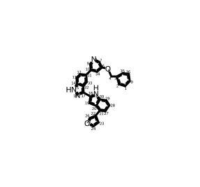 c1ccc(COc2cncc(-c3ccc4[nH]nc(-c5cc6c(-c7ccoc7)cccc6[nH]5)c4c3)c2)cc1